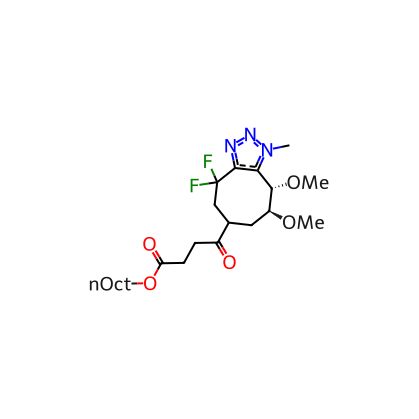 CCCCCCCCOC(=O)CCC(=O)C1C[C@H](OC)[C@@H](OC)c2c(nnn2C)C(F)(F)C1